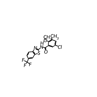 COc1c(C)cc(Cl)cc1C(=O)Nc1nc2ccc(C(F)(F)F)cc2s1